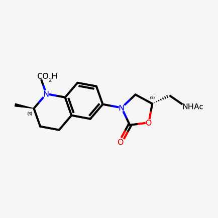 CC(=O)NC[C@H]1CN(c2ccc3c(c2)CC[C@@H](C)N3C(=O)O)C(=O)O1